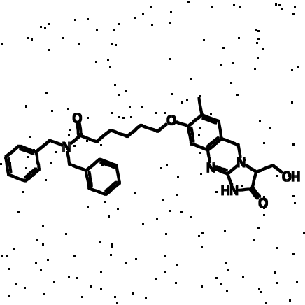 Cc1cc2c(cc1OCCCCCC(=O)N(Cc1ccccc1)Cc1ccccc1)N=C1NC(=O)C(CO)N1C2